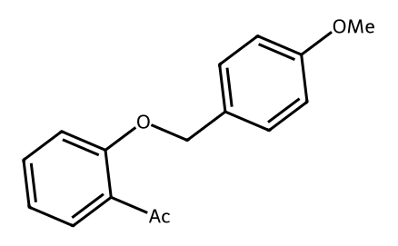 COc1ccc(COc2ccccc2C(C)=O)cc1